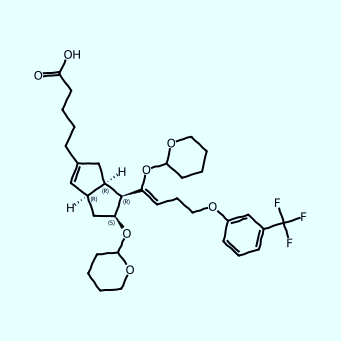 O=C(O)CCCCC1=C[C@@H]2C[C@H](OC3CCCCO3)[C@H](C(=CCCOc3cccc(C(F)(F)F)c3)OC3CCCCO3)[C@@H]2C1